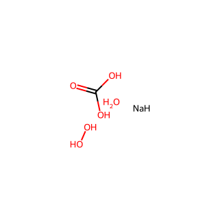 O.O=C(O)O.OO.[NaH]